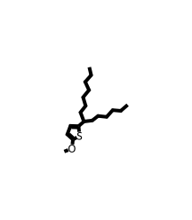 CCCCCCCC(CCCCCC)c1ccc(OC)s1